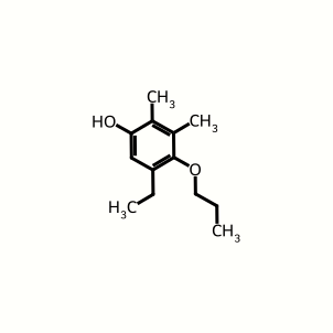 CCCOc1c(CC)cc(O)c(C)c1C